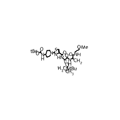 C=C(NC(=O)[C@H](CO[Si](C)(C)C(C)(C)C)NC(=O)c1csc(N2CCC(NC(=O)OC(C)(C)C)CC2)n1)C(=O)NCCOC